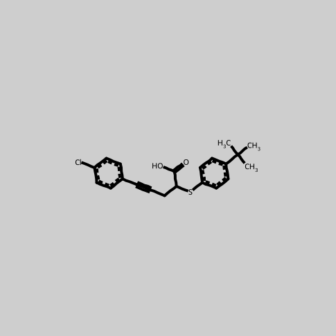 CC(C)(C)c1ccc(SC(CC#Cc2ccc(Cl)cc2)C(=O)O)cc1